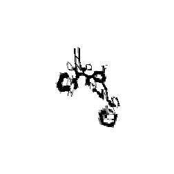 O=C1NC(=O)C(c2cnc3ccccn23)=C1c1cn2c3c(cc(F)cc13)CN(C(=O)N1CC3CCC(C1)O3)CC2